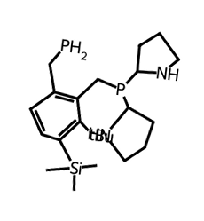 CC(C)(C)c1c([Si](C)(C)C)ccc(CP)c1CP(C1CCCN1)C1CCCN1